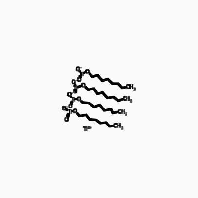 CCCCCCCC[O][Ti](=[O])[O-].CCCCCCCC[O][Ti](=[O])[O-].CCCCCCCC[O][Ti](=[O])[O-].CCCCCCCC[O][Ti](=[O])[O-].[Ti+4]